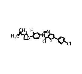 CN(C)C1CCN(c2ccc(-n3cnc4cc(-c5ccc(Cl)cc5)sc4c3=O)cc2F)C1